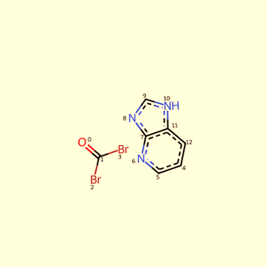 O=C(Br)Br.c1cnc2nc[nH]c2c1